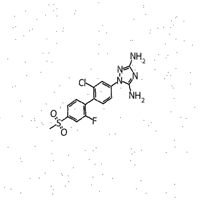 CS(=O)(=O)c1ccc(-c2ccc(-n3nc(N)nc3N)cc2Cl)c(F)c1